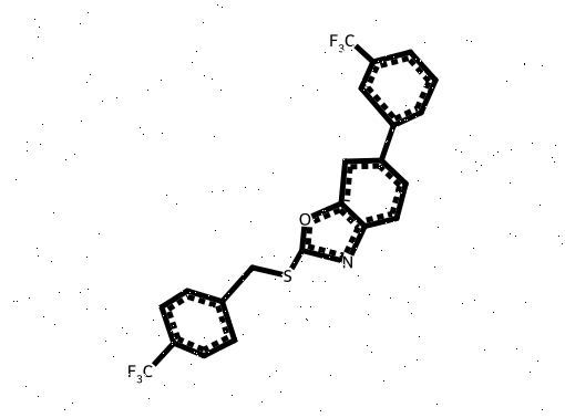 FC(F)(F)c1ccc(CSc2nc3ccc(-c4cccc(C(F)(F)F)c4)cc3o2)cc1